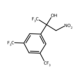 O=[N+]([O-])CC(O)(c1cc(C(F)(F)F)cc(C(F)(F)F)c1)C(F)(F)F